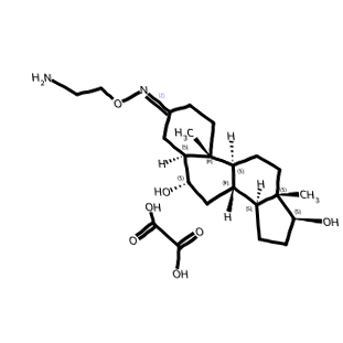 C[C@]12CC/C(=N/OCCN)C[C@@H]1[C@@H](O)C[C@@H]1[C@@H]2CC[C@]2(C)[C@@H](O)CC[C@@H]12.O=C(O)C(=O)O